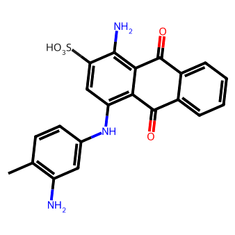 Cc1ccc(Nc2cc(S(=O)(=O)O)c(N)c3c2C(=O)c2ccccc2C3=O)cc1N